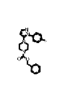 O=C(OCc1ccccc1)N1CCN(c2ccnn2-c2ccc(F)cc2)CC1